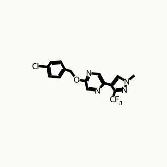 Cn1cc(-c2cnc(OCc3ccc(Cl)cc3)cn2)c(C(F)(F)F)n1